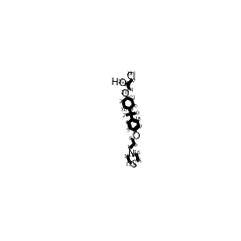 CC(C)(c1ccc(OCCCN2CCSCC2)cc1)C1CCC(OC[C@@H](O)CCl)CC1